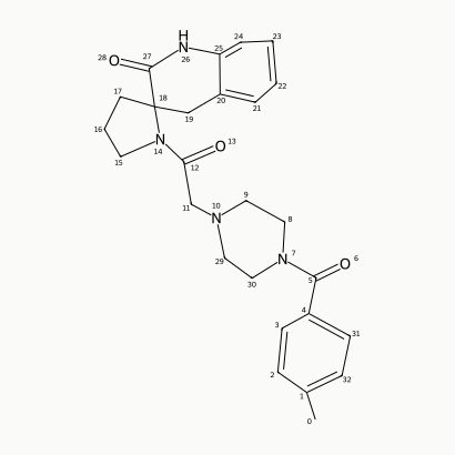 Cc1ccc(C(=O)N2CCN(CC(=O)N3CCCC34Cc3ccccc3NC4=O)CC2)cc1